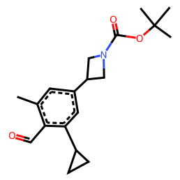 Cc1cc(C2CN(C(=O)OC(C)(C)C)C2)cc(C2CC2)c1C=O